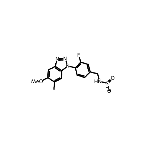 COc1cc2nnn(-c3ccc(CN[SH](=O)=O)cc3F)c2cc1C